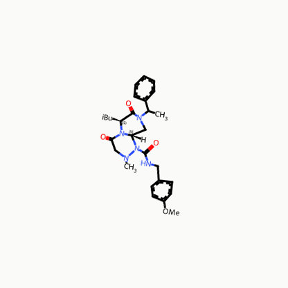 CCC(C)[C@H]1C(=O)N(C(C)c2ccccc2)C[C@H]2N1C(=O)CN(C)N2C(=O)NCc1ccc(OC)cc1